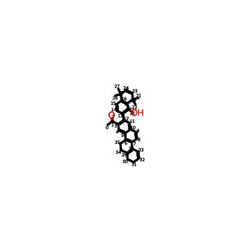 CC(=O)c1cc2c3c(ccc2cc1-c1ccc2c(c1O)C(C)(C)C=CC2(C)C)C1=C(CCC=C1)CC3